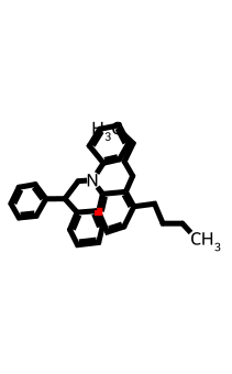 CCCCc1cccc(N(CC(c2ccccc2)c2ccccc2)c2ccccc2)c1CCCC